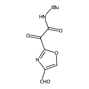 CC(C)(C)NC(=O)C(=O)c1nc(C=O)co1